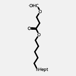 CCCCCCCCCCCCOC(=O)CCO[C]=O